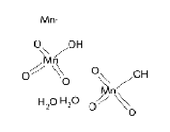 O.O.[Mn].[O]=[Mn](=[O])(=[O])[OH].[O]=[Mn](=[O])(=[O])[OH]